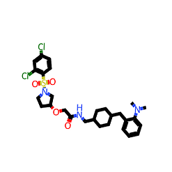 CN(C)c1ccccc1CC1CCC(CNC(=O)COC2CCN(S(=O)(=O)c3ccc(Cl)cc3Cl)C2)CC1